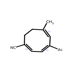 CC(=O)C1=C/C=C(/C#N)CC/C(C)=C\1